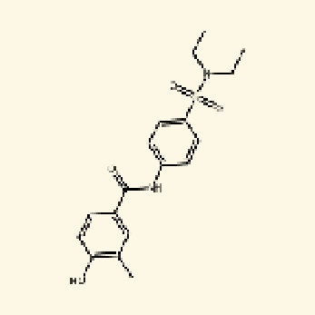 CCN(CC)S(=O)(=O)c1ccc(NC(=O)c2ccc(O)c(C)c2)cc1